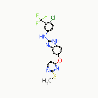 CSc1nccc(Oc2ccc3[nH]c(Nc4ccc(Cl)c(C(F)(F)F)c4)nc3c2)n1